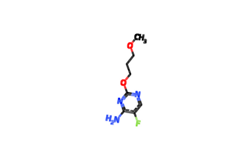 COCCCOc1ncc(F)c(N)n1